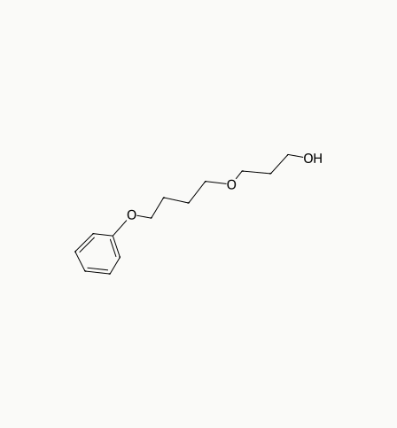 OCCCOCCCCOc1ccccc1